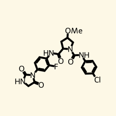 COC1CC(C(=O)Nc2ccc(N3C(=O)CNC3=O)cc2F)N(C(=O)Nc2ccc(Cl)cc2)C1